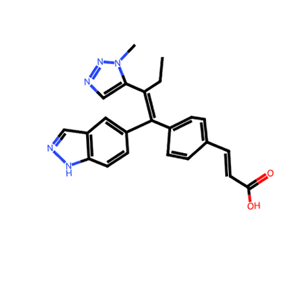 CCC(=C(c1ccc(C=CC(=O)O)cc1)c1ccc2[nH]ncc2c1)c1cnnn1C